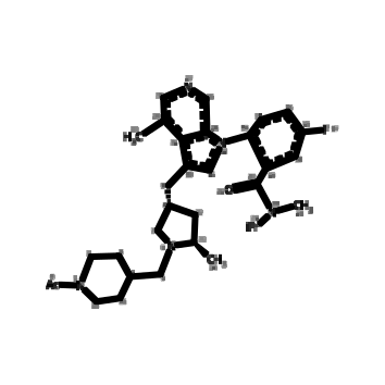 CC(=O)N1CCC(CN2C[C@H](Cc3cn(-c4ccc(F)cc4C(=O)N(C)C(C)C)c4cncc(C)c34)C[C@H]2C)CC1